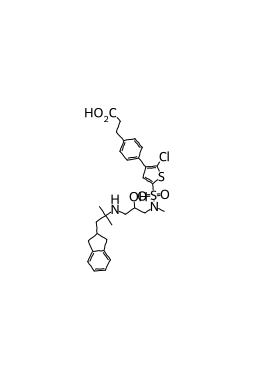 CN(CC(O)CNC(C)(C)CC1Cc2ccccc2C1)S(=O)(=O)c1cc(-c2ccc(CCC(=O)O)cc2)c(Cl)s1